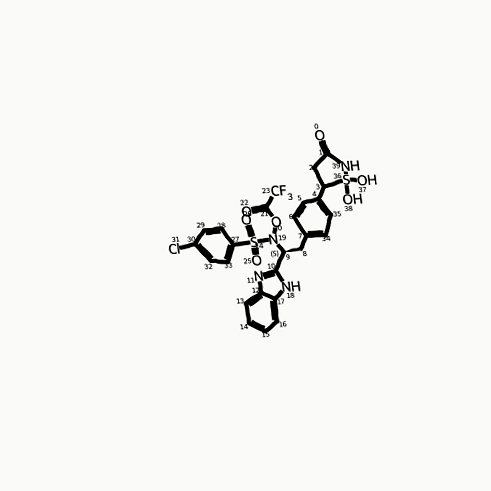 O=C1CC(c2ccc(C[C@@H](c3nc4ccccc4[nH]3)N(OC(=O)C(F)(F)F)S(=O)(=O)c3ccc(Cl)cc3)cc2)S(O)(O)N1